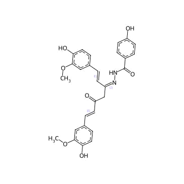 COc1cc(/C=C/C(=O)CC(/C=C/c2ccc(O)c(OC)c2)=N/NC(=O)c2ccc(O)cc2)ccc1O